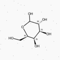 OC[C@H]1O[C](O)[C@H](O)[C@@H](O)[C@H]1O